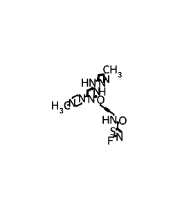 Cc1cc(Nc2cc(N3CCN(C)CC3)nc(OCC#CCNC(=O)c3cnc(F)s3)n2)[nH]n1